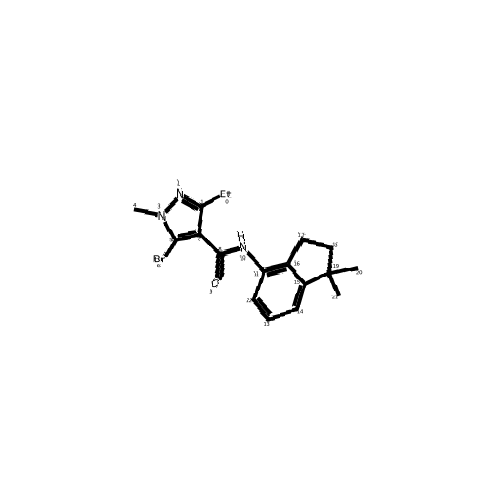 CCc1nn(C)c(Br)c1C(=O)Nc1cccc2c1CCC2(C)C